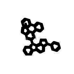 CC1(C)C=Cc2nc(-n3c4ccccc4c4ccc5c(ccn5-c5ccccc5)c43)nc(-c3ccccc3-c3ccccc3)c21